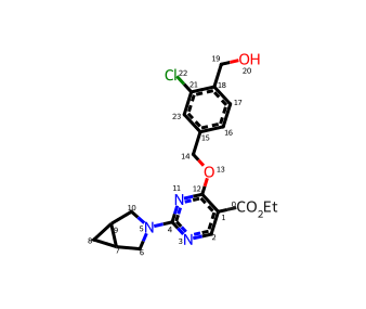 CCOC(=O)c1cnc(N2CC3CC3C2)nc1OCc1ccc(CO)c(Cl)c1